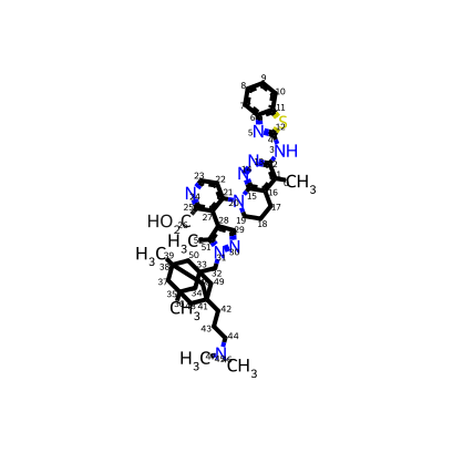 Cc1c(Nc2nc3ccccc3s2)nnc2c1CCCN2c1ccnc(C(=O)O)c1-c1cnn(CC23CC4(C)CC(C)(CC(CCCN(C)C)(C4)C2)C3)c1C